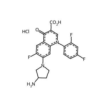 Cl.NC1CCN(c2cc3c(cc2F)c(=O)c(C(=O)O)cn3-c2ccc(F)cc2F)C1